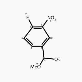 COC([O])c1ccc(F)c([N+](=O)[O-])c1